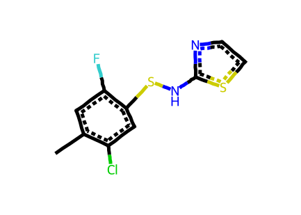 Cc1cc(F)c(SNc2nccs2)cc1Cl